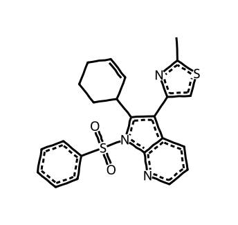 Cc1nc(-c2c(C3C=CCCC3)n(S(=O)(=O)c3ccccc3)c3ncccc23)cs1